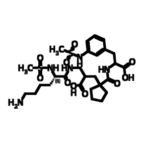 CS(=O)(=O)Nc1cccc(CC(NC(=O)C2(CC(CNC(=O)[C@H](CCCCN)NS(C)(=O)=O)C(=O)O)CCCC2)C(=O)O)c1